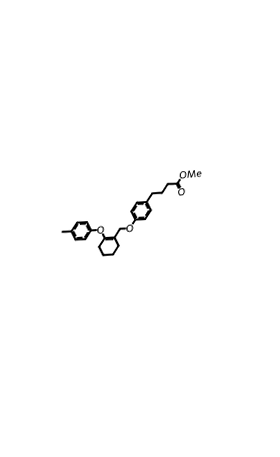 COC(=O)CCCc1ccc(OCC2=C(Oc3ccc(C)cc3)CCCC2)cc1